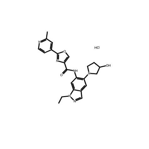 CCn1ncc2cc(N3CCC(O)C3)c(NC(=O)c3coc(-c4ccnc(C)c4)n3)cc21.Cl